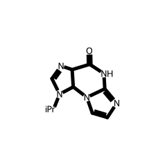 CC(C)N1C=NC2C(=O)Nc3nccn3C21